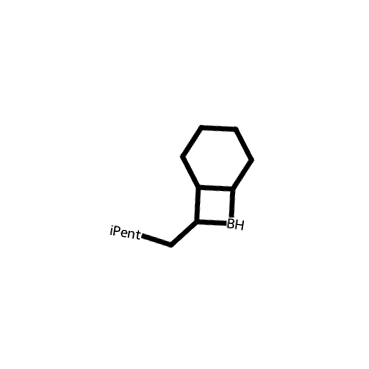 CCCC(C)CC1BC2CCCCC21